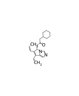 C=CC1=C(/C=C\C)C(CC(=O)CC2CCCCC2)n2cncc21